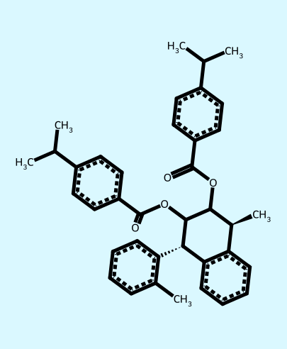 Cc1ccccc1[C@H]1c2ccccc2[C@H](C)C(OC(=O)c2ccc(C(C)C)cc2)C1OC(=O)c1ccc(C(C)C)cc1